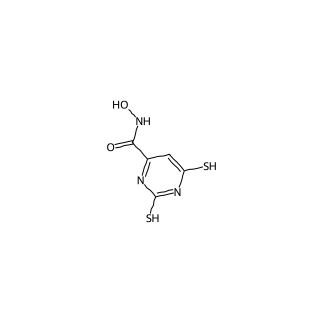 O=C(NO)c1cc(S)nc(S)n1